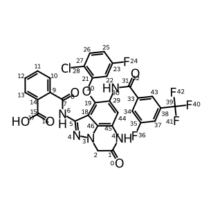 O=C1Cn2nc(NC(=O)c3ccccc3C(=O)O)c3c(Oc4cc(F)ccc4Cl)c(NC(=O)c4cc(F)cc(C(F)(F)F)c4)cc(c32)N1